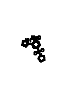 COc1ccc(S(=O)(=O)N2CCCC2)cc1-c1ccc[nH]1